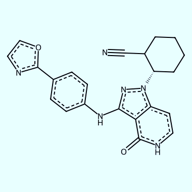 N#CC1CCCC[C@@H]1n1nc(Nc2ccc(-c3ncco3)cc2)c2c(=O)[nH]ccc21